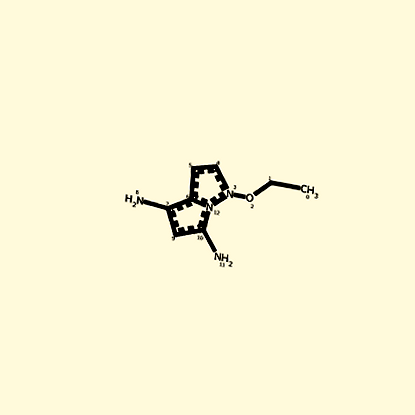 CCOn1ccc2c(N)cc(N)n21